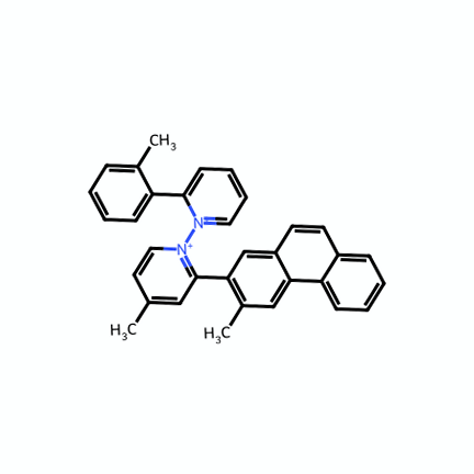 Cc1cc[n+](-[n+]2ccccc2-c2ccccc2C)c(-c2cc3ccc4ccccc4c3cc2C)c1